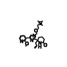 C=CCC1(c2nc(-c3cccnc3OC)cn2COCC[Si](C)(C)C)CCCC(=O)N1